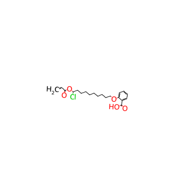 C=CC(=O)OC(Cl)CCCCCCCCCOc1ccccc1C(=O)O